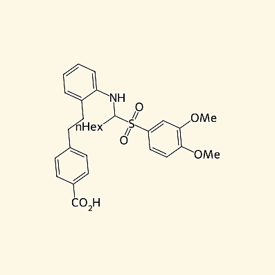 CCCCCCC(Nc1ccccc1CCc1ccc(C(=O)O)cc1)S(=O)(=O)c1ccc(OC)c(OC)c1